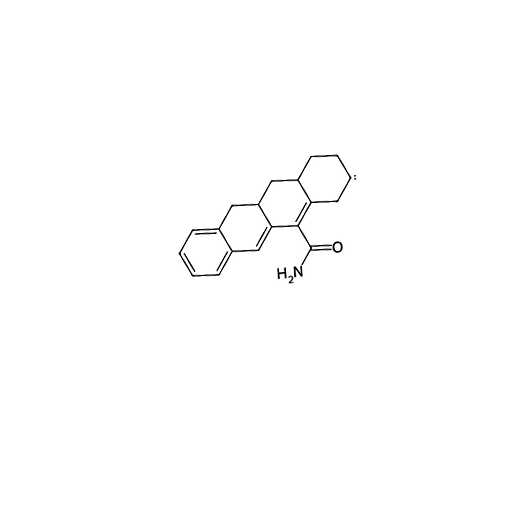 NC(=O)C1=C2C[C]CCC2CC2Cc3ccccc3C=C12